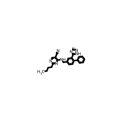 CCCCc1ncc(C#N)c(NCc2ccc(-c3ccccc3)c(-c3nnn[nH]3)c2)n1